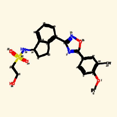 CC(C)Oc1ccc(-c2nc(-c3cccc4c3CCC4NS(=O)(=O)CCO)no2)cc1C#N